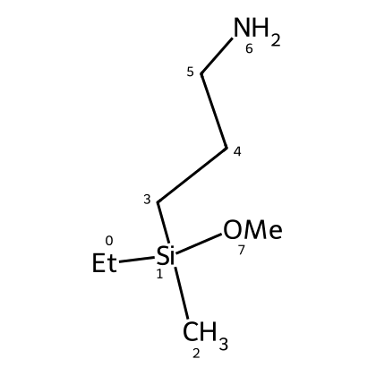 CC[Si](C)(CCCN)OC